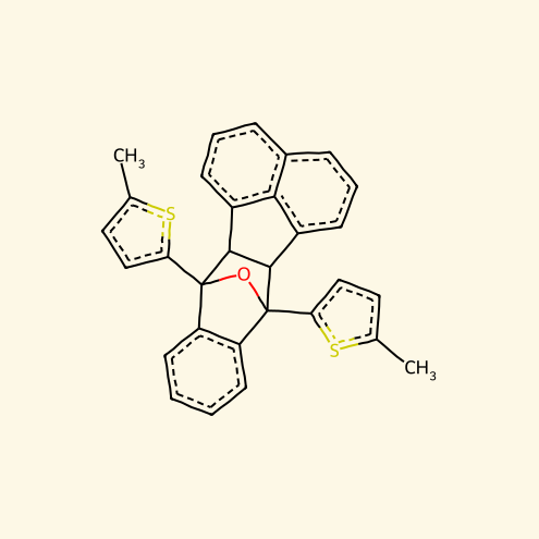 Cc1ccc(C23OC(c4ccc(C)s4)(c4ccccc42)C2c4cccc5cccc(c45)C23)s1